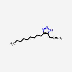 C=C=Cc1[nH]nnc1CCCCCCCCC